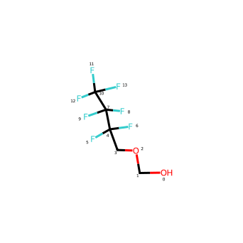 OCOCC(F)(F)C(F)(F)C(F)(F)F